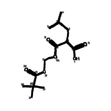 CC(C)CC(C(=O)O)C(=O)OCOC(=O)C(C)(C)C